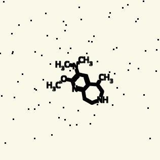 COc1nc2c(cc1N(C)C)C(C)CNCC2